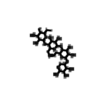 CCC1OC(OC2C(CO)OC(OC3C(CC)OC(OC4COC(O)C(O)C4O)C(O)C3O)C(O)C2O)C(O)C(O)C1C